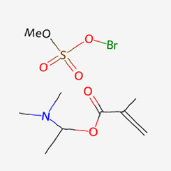 C=C(C)C(=O)OC(C)N(C)C.COS(=O)(=O)OBr